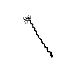 C#CCCCCCCCCCCCCCCCCC[Si](Cl)(Cl)Cl